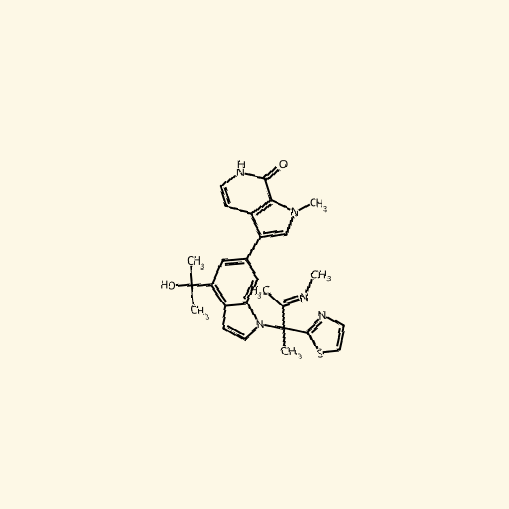 C/N=C(\C)C(C)(c1nccs1)n1ccc2c(C(C)(C)O)cc(-c3cn(C)c4c(=O)[nH]ccc34)cc21